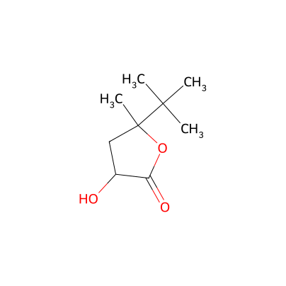 CC(C)(C)C1(C)CC(O)C(=O)O1